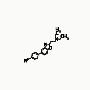 CCN(CC)CCc1nc2cc(-c3ccc(C#N)cc3)ccc2o1